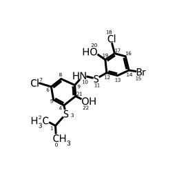 CC(C)Sc1cc(Cl)cc(NSc2cc(Br)cc(Cl)c2O)c1O